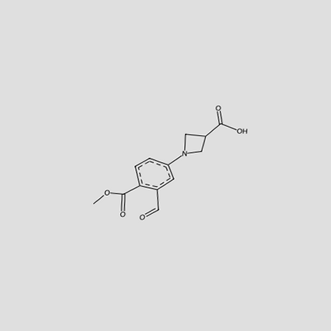 COC(=O)c1ccc(N2CC(C(=O)O)C2)cc1C=O